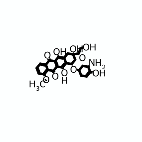 COc1cccc2c1C(=O)c1c(O)c3c(c(O)c1C2=O)C[C@@](O)(C(=O)CO)C[C@@H]3OC1CC=C(O)C(N)C1